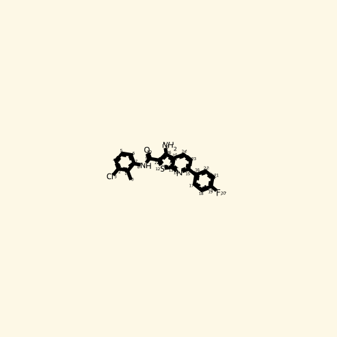 Cc1c(Cl)cccc1NC(=O)c1sc2nc(-c3ccc(F)cc3)ccc2c1N